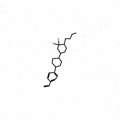 C=Cc1ccc(C2CCC(C3CCC(CCCC)C(F)(F)C3)CC2)cc1